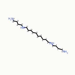 NCCCCNCCCCCCCCCCNCCCCN